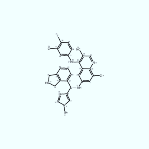 CC(C)n1cc([C@@H](Nc2cc(Cl)c3ncc(C#N)c(Nc4ccc(F)c(Cl)c4)c3c2)c2cccc3c2CNC3)nn1